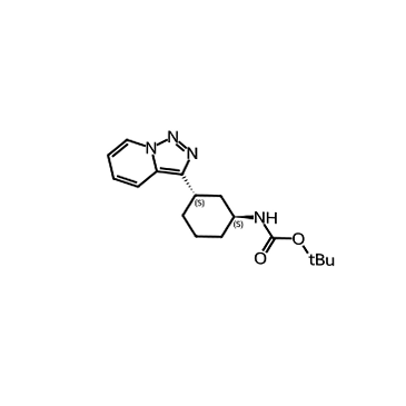 CC(C)(C)OC(=O)N[C@H]1CCC[C@H](c2nnn3ccccc23)C1